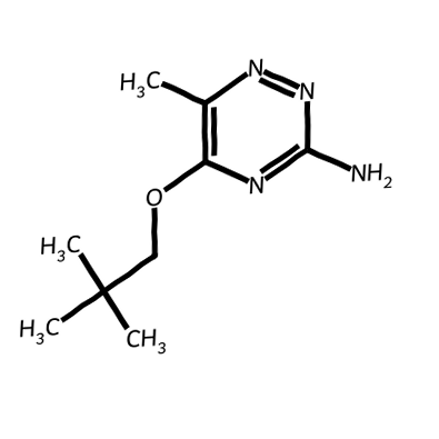 Cc1nnc(N)nc1OCC(C)(C)C